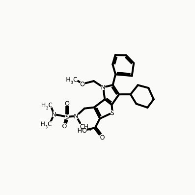 COCn1c(-c2ccccc2)c(C2CCCCC2)c2sc(C(=O)O)c(CN(C)S(=O)(=O)N(C)C)c21